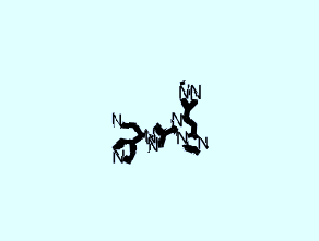 Cn1cc(-c2cc3nccn3c(-c3cnn(C(CC#N)c4ccncc4)c3)n2)cn1